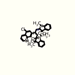 CN1/C(=C/C2CC3(Oc4c2cc(Cl)c2cccnc42)N(C)c2ccccc2C3(C)C)C(C)(C)c2ccccc21